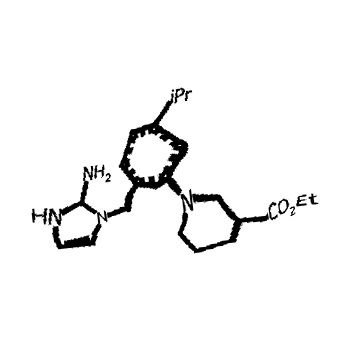 CCOC(=O)C1CCCN(c2cc(C(C)C)ccc2CN2C=CNC2N)C1